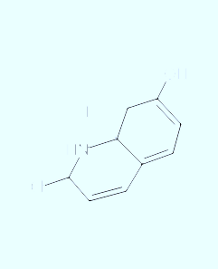 OC1=CC=C2C=CC(Cl)N[C@H]2C1